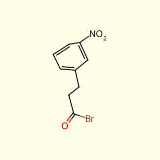 O=C(Br)CCc1cccc([N+](=O)[O-])c1